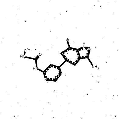 CCCNC(=O)Nc1cc(-c2cc(Br)c3[nH]nc(N)c3c2)ccn1